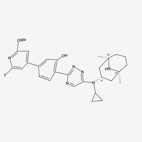 COc1cc(-c2ccc(-c3ncc(N(C4CC4)[C@H]4C[C@]5(C)CCC[C@](C)(C4)N5)nn3)c(O)c2)cc(F)n1